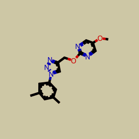 COc1cnc(OCc2cn(-c3cc(C)cc(C)c3)nn2)nc1